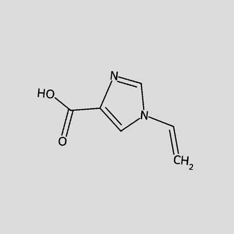 C=Cn1cnc(C(=O)O)c1